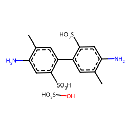 Cc1cc(-c2cc(C)c(N)cc2S(=O)(=O)O)c(S(=O)(=O)O)cc1N.O=S(=O)(O)O